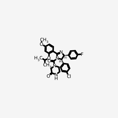 COc1ccc(C2=N[C@@H](c3ccc(F)cc3)[C@@H](c3ccc(Cl)cc3)N2C(=O)N2CCNC(=O)C2)c(OC(C)C)c1